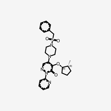 C[C@@H]1CCC[C@H]1Oc1c(N2CCN(S(=O)(=O)Cc3ccccc3)CC2)cnn(-c2ccccn2)c1=O